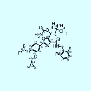 CC(C)(C)CC(OC(N)=O)c1oc(-c2ccc(OC(F)F)c(OCC3CC3)c2)nc1C(=O)NCc1c(F)cccc1F